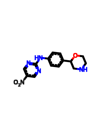 O=[N+]([O-])c1cnc(Nc2ccc(C3CNCCO3)cc2)nc1